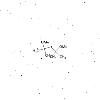 COC(C)(C)CC(C)(C)OC